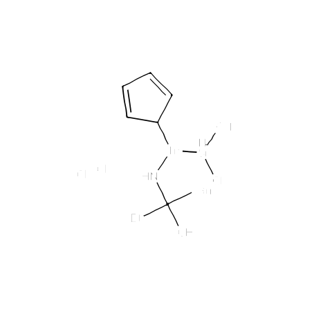 CCC(C)([NH][Ti+2]([CH]1C=CC=C1)[SiH](C)C)C(C)(C)C.[Cl-].[Cl-]